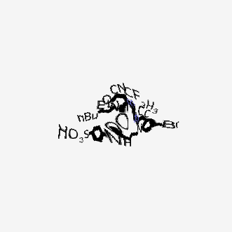 CCCCC(CC)CN1C(=O)C(C#N)=C(C(F)(F)F)/C(=C/C=C2/N(CCCC(=O)Nc3ccc(S(=O)(=O)O)cc3)c3ccc(Br)cc3C2(C)C)C1=O